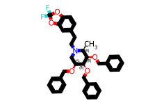 C[C@@H]1[C@@H](OCc2ccccc2)[C@H](OCc2ccccc2)[C@@H](OCc2ccccc2)CN1CCc1ccc2c(c1)OC(F)(F)O2